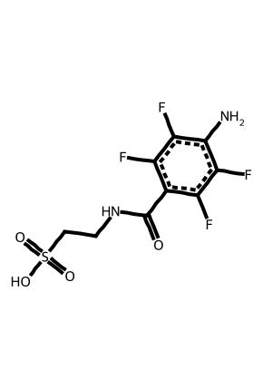 Nc1c(F)c(F)c(C(=O)NCCS(=O)(=O)O)c(F)c1F